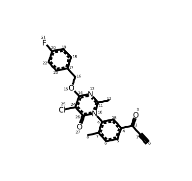 C#CC(=O)c1ccc(C)c(-n2c(C)nc(OCc3ccc(F)cc3)c(Cl)c2=O)c1